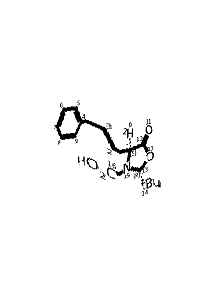 [2H][C@]1(CCc2ccccc2)C(=O)O[C@H](C(C)(C)C)N1C(=O)O